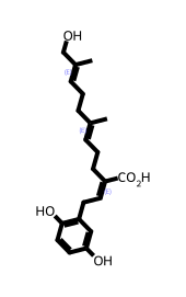 C/C(=C\CC/C(C)=C/CC/C(=C\Cc1cc(O)ccc1O)C(=O)O)CO